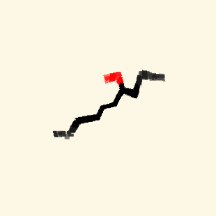 CCCCCCC(O)CCC=CC(=O)O